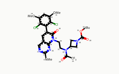 CNc1ncc2cc(-c3c(Cl)c(OC)cc(OC)c3Cl)c(=O)n(CCN(C(=O)C(F)(F)F)C3CN(C(=O)OC(C)(C)C)C3)c2n1